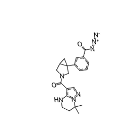 CC1(C)CCNc2c(C(=O)N3CC4CC4(c4cccc(C(=O)N=[N+]=[N-])c4)C3)cnn21